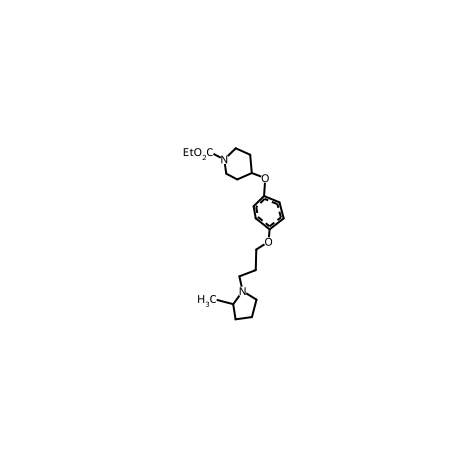 CCOC(=O)N1CCC(Oc2ccc(OCCCN3CCCC3C)cc2)CC1